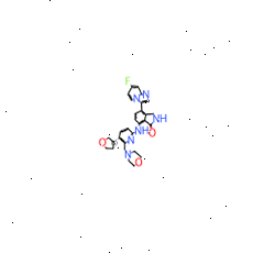 O=C1NCc2c(-c3cnc4cc(F)ccn34)ccc(Nc3ccc([C@@H]4CCOC4)c(CN4CCOCC4)n3)c21